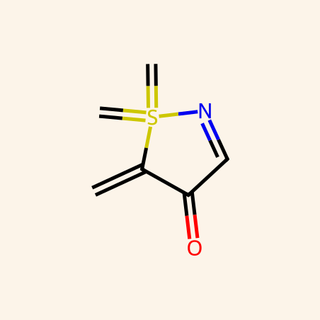 C=C1C(=O)C=NS1(=C)=C